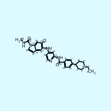 CCN1CCC(c2ccc(C(=O)Nc3cc(Nc4cc5ccn(C(=O)NC)c5cc4Cl)ccn3)cc2)CC1